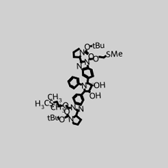 CSCCOCn1c(C2CCCN2C(=O)OC(C)(C)C)nc2cc(C3[C@H](O)C(O)C(c4ccc5c(c4)nc(C4CCCN4C(=O)OC(C)(C)C)n5COCCS(C)(C)C)N3c3ccccc3)ccc21